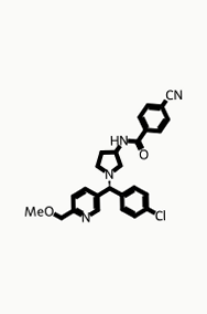 COCc1ccc([C@@H](c2ccc(Cl)cc2)N2CCC(NC(=O)c3ccc(C#N)cc3)C2)cn1